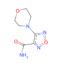 NC(=O)c1nonc1N1CCOCC1